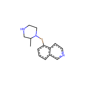 CC1CNCCN1Sc1cccc2cnccc12